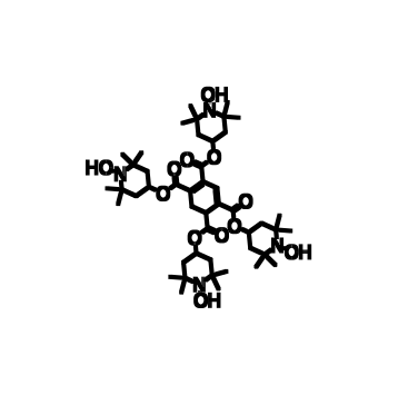 CC1(C)CC(OC(=O)C2=CC(C(=O)OC3CC(C)(C)N(O)C(C)(C)C3)=C(C(=O)OC3CC(C)(C)N(O)C(C)(C)C3)CC2C(=O)OC2CC(C)(C)N(O)C(C)(C)C2)CC(C)(C)N1O